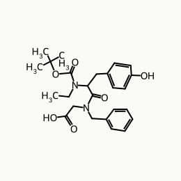 CCN(C(=O)OC(C)(C)C)C(Cc1ccc(O)cc1)C(=O)N(CC(=O)O)Cc1ccccc1